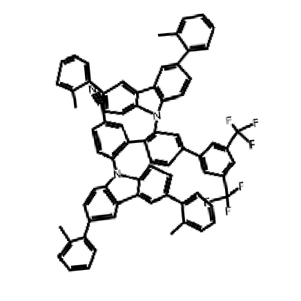 Cc1ccccc1-c1ccc2c(c1)c1cc(-c3ccccc3C)ccc1n2-c1ccc(C#N)cc1-c1ccc(-c2cc(C(F)(F)F)cc(C(F)(F)F)c2)cc1-n1c2ccc(-c3ccccc3C)cc2c2cc(-c3ccccc3C)ccc21